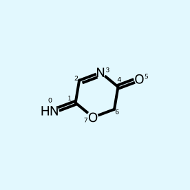 N=C1C=NC(=O)CO1